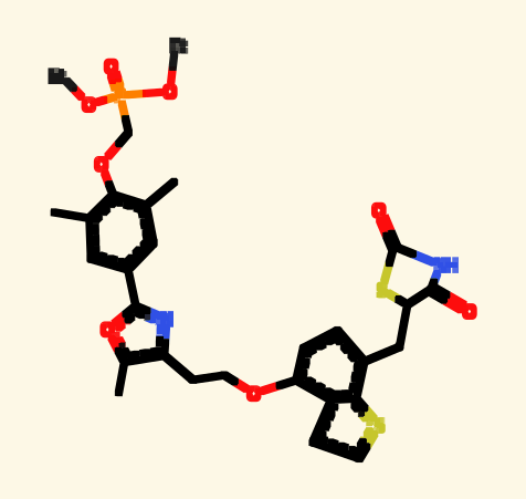 CCOP(=O)(COc1c(C)cc(-c2nc(CCOc3ccc(CC4SC(=O)NC4=O)c4sccc34)c(C)o2)cc1C)OCC